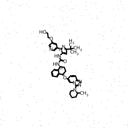 CC1CCCCN1c1nnc2ccc(O[C@@H]3CC[C@H](NC(=O)Nc4cc(C(C)(C)C)nn4-c4cncc(OCCO)c4)c4ccccc43)cn12